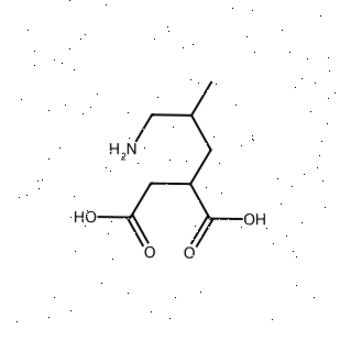 CC(CN)CC(CC(=O)O)C(=O)O